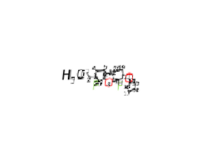 CCCc1ccc2c(oc3c(F)c(OC4CCCC4)ccc32)c1F